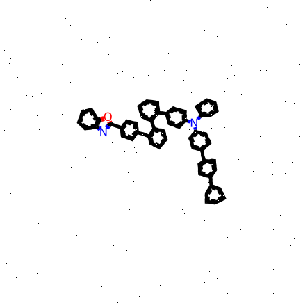 c1ccc(-c2ccc(-c3ccc(N(c4ccccc4)c4ccc(-c5ccccc5-c5ccccc5-c5ccc(-c6nc7ccccc7o6)cc5)cc4)cc3)cc2)cc1